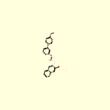 CCc1ccc(-c2cccc(CC(=O)Nc3cc4ccccc4cc3C(=O)O)c2)cc1